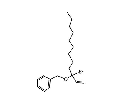 C=CC(Br)(CCCCCCCCC)OCc1ccccc1